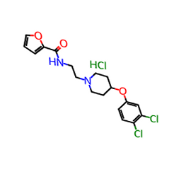 Cl.O=C(NCCN1CCC(Oc2ccc(Cl)c(Cl)c2)CC1)c1ccco1